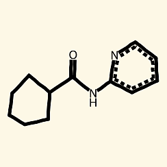 O=C(Nc1ccccn1)C1CCCCC1